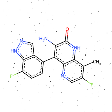 Cc1c(F)cnc2c(-c3ccc(F)c4[nH]ncc34)c(N)c(=O)[nH]c12